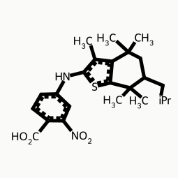 Cc1c(Nc2ccc(C(=O)O)c([N+](=O)[O-])c2)sc2c1C(C)(C)CC(CC(C)C)C2(C)C